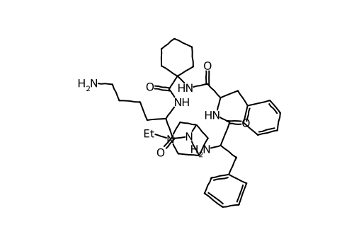 CCN1CC2CC(C1)N2C(=O)C(CCCCN)NC(=O)C1(NC(=O)C(Cc2ccccc2)NC(=O)C(N)Cc2ccccc2)CCCCC1